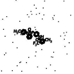 Cc1ccc(C(F)(F)F)c(C(=O)N[C@H]2CC[C@H](Cn3c(=O)n(-c4ccc(C)nc4)c4ccccc43)CC2)c1